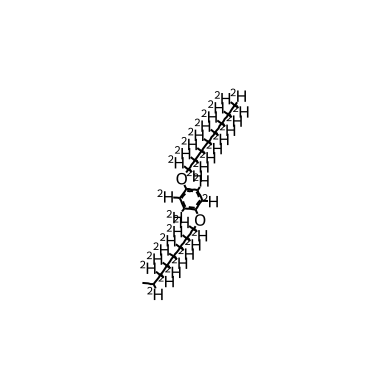 [2H]c1c([2H])c(OC([2H])([2H])C([2H])([2H])C([2H])([2H])C([2H])([2H])C([2H])([2H])C([2H])([2H])C([2H])([2H])C([2H])([2H])[2H])c([2H])c([2H])c1OC([2H])([2H])C([2H])([2H])C([2H])([2H])C([2H])([2H])C([2H])([2H])C([2H])([2H])C([2H])C